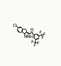 FC(F)(F)c1cc(Nc2[nH]nc3c2Cc2cc(Cl)ccc2-3)cc(C(F)(F)F)c1